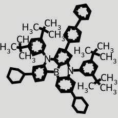 CC(C)(C)c1cc(N2c3cc(C4CCCCC4)ccc3B3c4ccc(C5CCCCC5)cc4N(c4cc(C(C)(C)C)cc(C(C)(C)C)c4)c4cc(-c5ccc(-c6ccccc6)cc5)cc2c43)cc(C(C)(C)C)c1